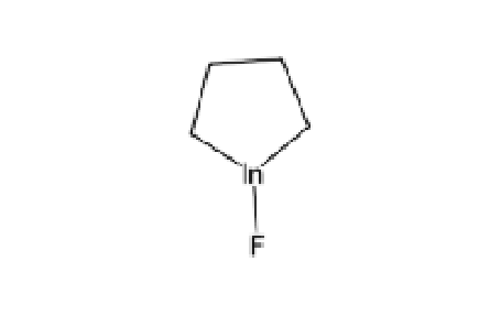 [F][In]1[CH2]CC[CH2]1